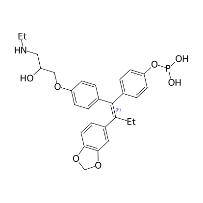 CCNCC(O)COc1ccc(/C(=C(/CC)c2ccc3c(c2)OCO3)c2ccc(OP(O)O)cc2)cc1